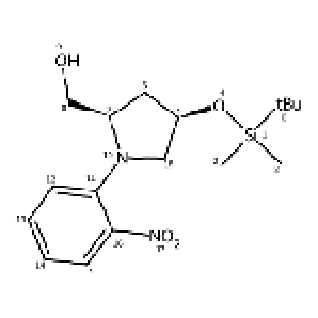 CC(C)(C)[Si](C)(C)O[C@@H]1C[C@H](CO)N(c2ccccc2[N+](=O)[O-])C1